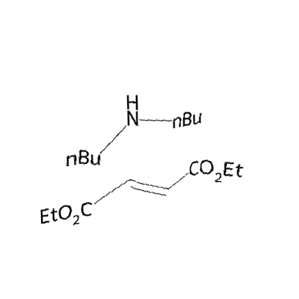 CCCCNCCCC.CCOC(=O)C=CC(=O)OCC